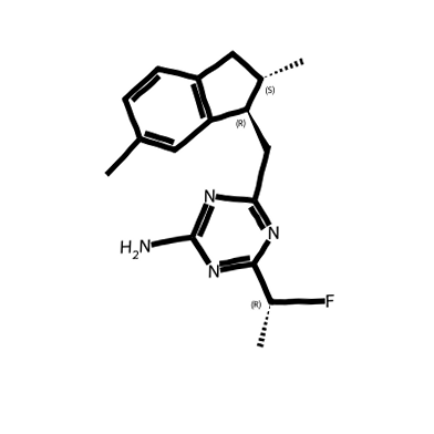 Cc1ccc2c(c1)[C@H](Cc1nc(N)nc([C@@H](C)F)n1)[C@@H](C)C2